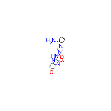 COc1ccc2nc(NC(=O)N3CCN(c4ccccc4CN)CC3)c(OC)nc2c1